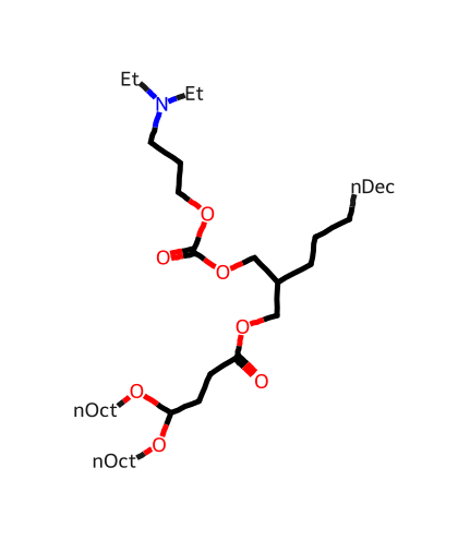 CCC[CH]CCCCCCCCCC(COC(=O)CCC(OCCCCCCCC)OCCCCCCCC)COC(=O)OCCCN(CC)CC